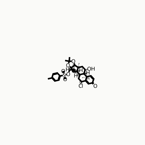 Cc1ccc(S(=O)(=O)OCC(=O)[C@@]23OC(C)(C)O[C@@H]2C[C@H]2[C@@H]4C[C@H](Cl)C5=CC(=O)C=C[C@]5(C)[C@H]4[C@@H](O)C[C@@]23C)cc1